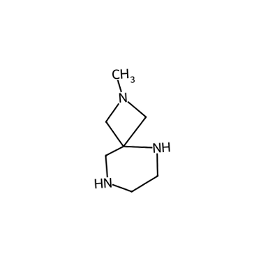 CN1CC2(CNCCN2)C1